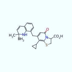 BC1(C)C=Cc2cccc(Cc3cc(=O)n4c(c3C3CC3)SCC4C(=O)O)c2N1